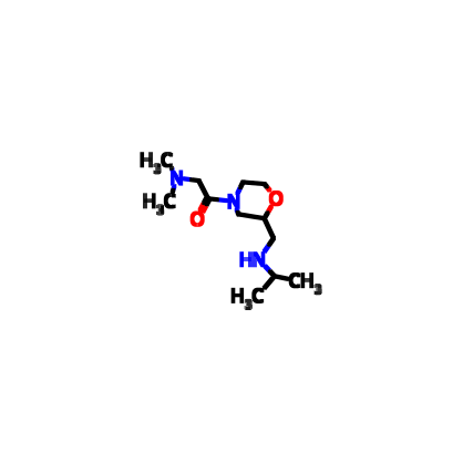 CC(C)NCC1CN(C(=O)CN(C)C)CCO1